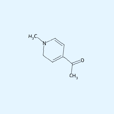 CC(=O)C1=CCN(C)C=C1